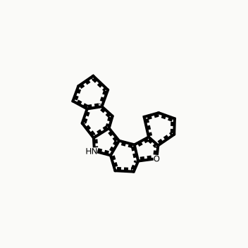 c1ccc2cc3c(cc2c1)[nH]c1ccc2oc4ccccc4c2c13